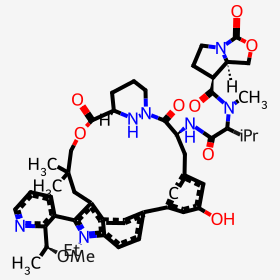 CCn1c(-c2cccnc2[C@H](C)OC)c2c3cc(ccc31)-c1cc(O)cc(c1)C[C@H](NC(=O)C(C(C)C)N(C)C(=O)[C@H]1CCN3C(=O)OC[C@@H]13)C(=O)N1CCC[C@H](N1)C(=O)OCC(C)(C)C2